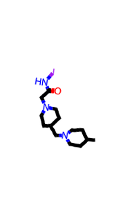 CC1CCN(CC2CCN(CC(=O)NI)CC2)CC1